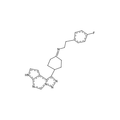 Fc1ccc(CCN=C2CCC(c3nnn4cnc5[nH]ccc5c34)CC2)cc1